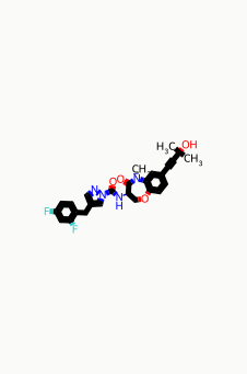 CN1C(=O)[C@@H](NC(=O)n2cc(Cc3ccc(F)cc3F)cn2)COc2ccc(C#CC(C)(C)O)cc21